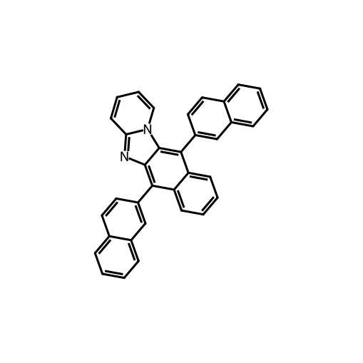 c1ccc2cc(-c3c4ccccc4c(-c4ccc5ccccc5c4)c4c3nc3ccccn34)ccc2c1